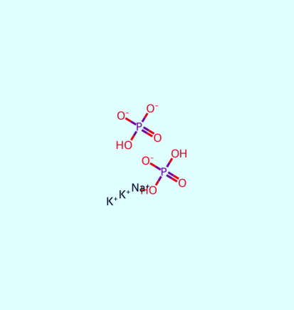 O=P([O-])(O)O.O=P([O-])([O-])O.[K+].[K+].[Na+]